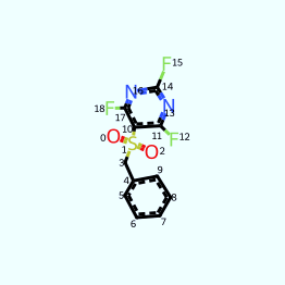 O=S(=O)(Cc1ccccc1)c1c(F)nc(F)nc1F